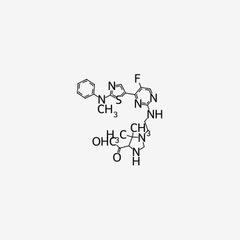 CN(c1ccccc1)c1ncc(-c2nc(NCCN3CNC(C(=O)C=O)C3(C)C)ncc2F)s1